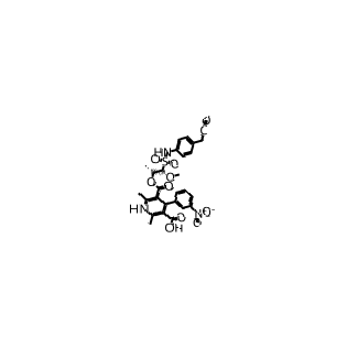 CO[C@H]([C@@H](C)OC(=O)C1=C(C)NC(C)=C(C(=O)O)C1c1cccc([N+](=O)[O-])c1)S(=O)(=O)Nc1ccc(C=C=O)cc1